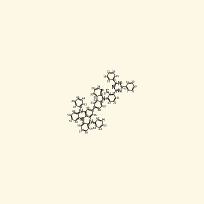 FC(F)(F)c1c(-c2nc(-c3ccccc3)nc(-c3ccccc3)n2)cccc1-n1c2ccccc2c2cc(-c3cc4c5c(c3)N(c3ccccc3)c3ccccc3B5c3ccccc3N4c3ccccc3)ccc21